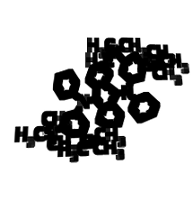 C[Si](C)(C)c1cc(N(c2ccccc2)c2c3ccccc3c(N(c3ccccc3)c3cc([Si](C)(C)C)cc([Si](C)(C)C)c3)c3ccccc23)cc([Si](C)(C)C)c1